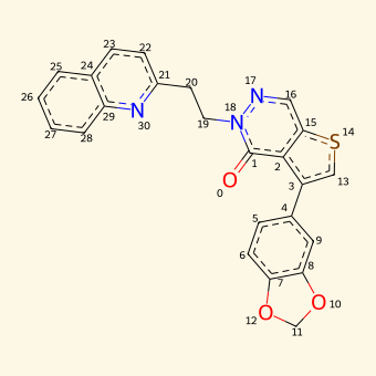 O=c1c2c(-c3ccc4c(c3)OCO4)csc2cnn1CCc1ccc2ccccc2n1